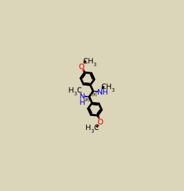 CN[C@H](c1ccc(OC)cc1)[C@H](NC)c1ccc(OC)cc1